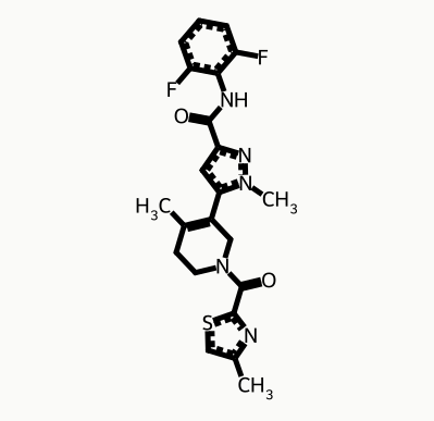 CC1=C(c2cc(C(=O)Nc3c(F)cccc3F)nn2C)CN(C(=O)c2nc(C)cs2)CC1